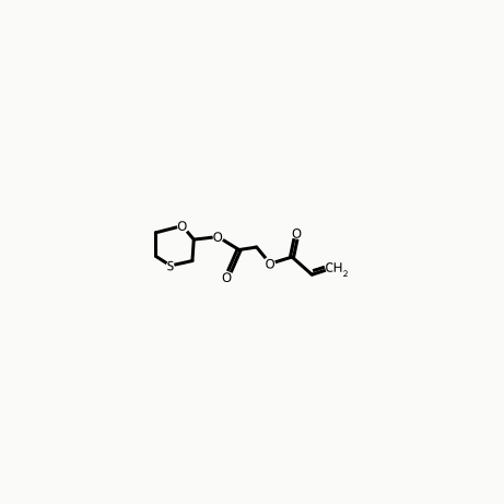 C=CC(=O)OCC(=O)OC1CSCCO1